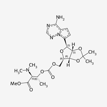 COC(=O)[C@H]([C@@H](C)OC(=O)OC[C@H]1O[C@@H](c2ccc3c(N)ncnn23)[C@@H]2OC(C)(C)O[C@@H]21)N(C)C